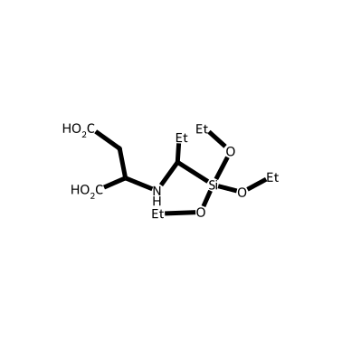 CCO[Si](OCC)(OCC)C(CC)NC(CC(=O)O)C(=O)O